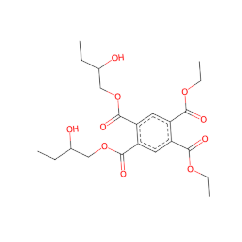 CCOC(=O)c1cc(C(=O)OCC(O)CC)c(C(=O)OCC(O)CC)cc1C(=O)OCC